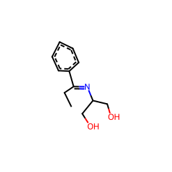 CCC(=NC(CO)CO)c1ccccc1